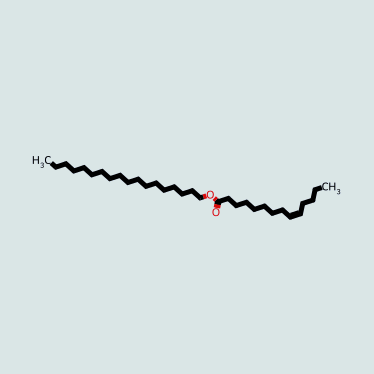 CCCC/C=C\CCCCCCCC(=O)OCCCCCCCCCCCCCCCCCC